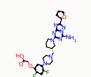 Nc1nc(N2CCC[C@@H](CN3CCN(c4cc(OCC(=O)O)c(F)cc4F)CC3)C2)nc2nc(-c3ccco3)nn12